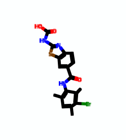 Cc1cc(C)c(NC(=O)c2ccc3nc(NC(=O)O)sc3c2)c(C)c1Br